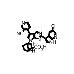 N#Cc1cnccc1-c1cn([C@@H]2C3CCC(CC3)[C@H]2C(=O)O)c2nc(-c3c[nH]c4ncc(Cl)cc34)ncc12